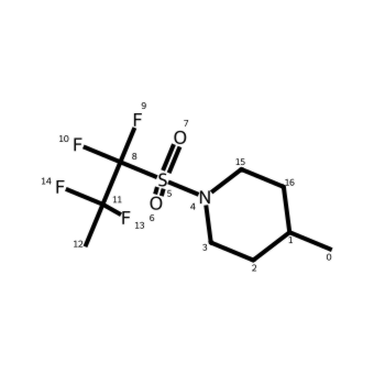 CC1CCN(S(=O)(=O)C(F)(F)C(C)(F)F)CC1